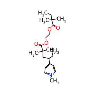 CCC(CC(C)(C)C(=O)OCCOC(=O)C(C)(C)CC)c1cc[n+](C)cc1